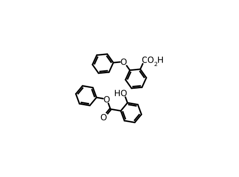 O=C(O)c1ccccc1Oc1ccccc1.O=C(Oc1ccccc1)c1ccccc1O